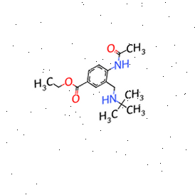 CCOC(=O)c1ccc(NC(C)=O)c(CNC(C)(C)C)c1